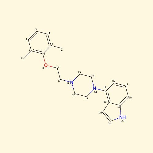 Cc1cccc(C)c1OCCN1CCN(c2cccc3[nH]ccc23)CC1